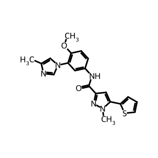 COc1ccc(NC(=O)c2cc(-c3cccs3)n(C)n2)cc1-n1cnc(C)c1